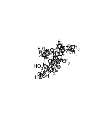 CC(C)(CCc1ccc(-c2ccc(Cl)c3c(N(C(=O)N4CCC[C@H]4CN(CC(=O)O)C(=O)OCOP(=O)(O)O)S(C)(=O)=O)nn(CC(F)(F)F)c23)c([C@H](Cc2cc(F)cc(F)c2)NC(=O)Cn2nc(C(F)(F)F)c3c2C(F)(F)C2C[C@H]32)n1)S(C)(=O)=O